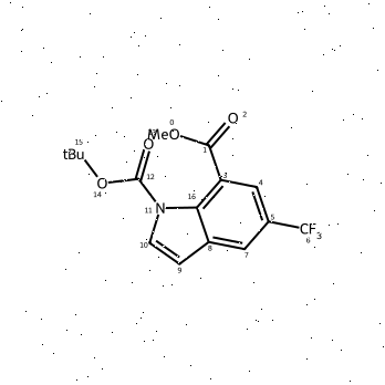 COC(=O)c1cc(C(F)(F)F)cc2ccn(C(=O)OC(C)(C)C)c12